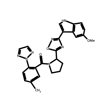 COc1ccc2[nH]cc(-c3noc(C4CCCN4C(=O)c4cc(C)ccc4-n4nccn4)n3)c2c1